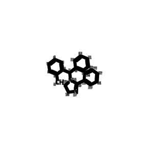 Cc1ccccc1C(c1ccccc1)N1CCN=C1c1ccccc1